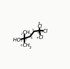 CC(C)(O)CCC(Cl)(Cl)Cl